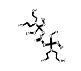 CCOC(OCC)(O[PH](=O)OC(OCC)(OCC)N(CCO)CCO)N(CCO)CCO